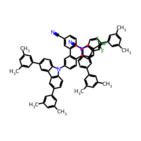 Cc1cc(C)cc(-c2ccc3c(c2)c2cc(-c4cc(C)cc(C)c4)ccc2n3-c2ccc(-c3ccc(C(F)(F)F)cc3C#N)c(-c3cc(C#N)ccc3-n3c4ccc(-c5cc(C)cc(C)c5)cc4c4cc(-c5cc(C)cc(C)c5)ccc43)c2)c1